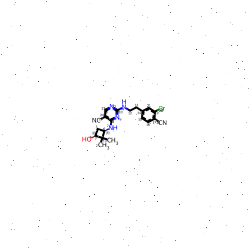 CC1(C)[C@@H](O)C[C@H]1Nc1nc(NCCc2ccc(C#N)c(Br)c2)ncc1C#N